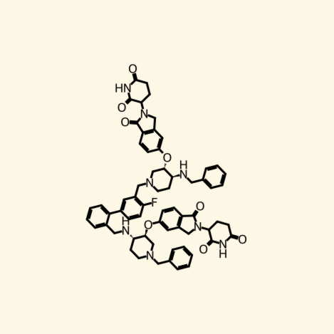 O=C1CCC(N2Cc3cc(O[C@H]4CN(Cc5ccccc5)CC[C@@H]4NCc4ccccc4-c4ccc(F)c(CN5CC[C@H](NCc6ccccc6)[C@@H](Oc6ccc7c(c6)CN(C6CCC(=O)NC6=O)C7=O)C5)c4)ccc3C2=O)C(=O)N1